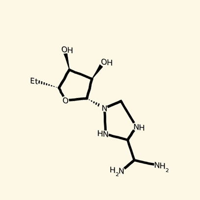 CC[C@H]1O[C@@H](N2CNC(C(N)N)N2)[C@H](O)[C@@H]1O